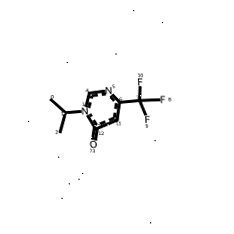 CC(C)n1cnc(C(F)(F)F)cc1=O